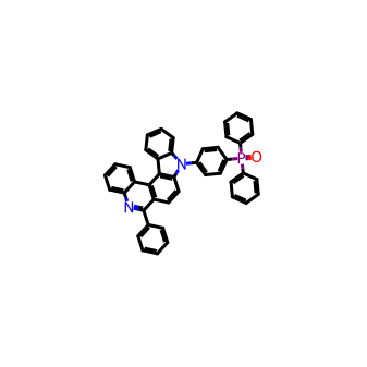 O=P(c1ccccc1)(c1ccccc1)c1ccc(-n2c3ccccc3c3c4c(ccc32)c(-c2ccccc2)nc2ccccc24)cc1